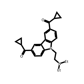 CCN(CC)CCn1c2ccc(C(=O)C3CC3)cc2c2cc(C(=O)C3CC3)ccc21